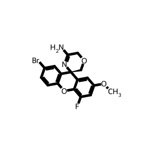 COc1cc(F)c2c(c1)[C@]1(COCC(N)=N1)c1cc(Br)ccc1O2